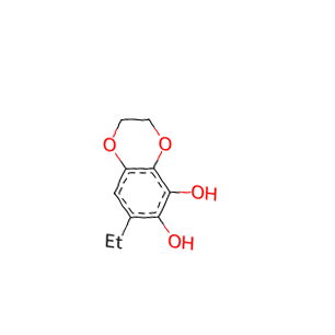 CCc1cc2c(c(O)c1O)OCCO2